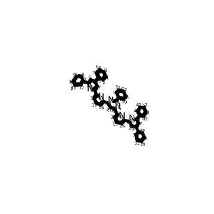 c1ccc(-c2cc(-c3ccccc3)nc(-c3cccc(-c4cc(-c5cccc(-c6cc(-c7ccccc7)cc(-c7ccccc7)n6)n5)nc(-c5ccccc5)n4)n3)c2)cc1